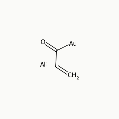 C=C[C](=O)[Au].[Al]